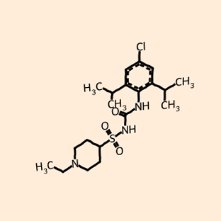 CCN1CCC(S(=O)(=O)NC(=O)Nc2c(C(C)C)cc(Cl)cc2C(C)C)CC1